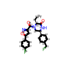 CC(C)C[C@H]1C(=O)N[C@@H](c2ccc(CF)cc2)CN1C(=O)c1cc(-c2ccc(F)cc2)on1